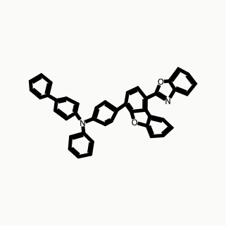 c1ccc(-c2ccc(N(c3ccccc3)c3ccc(-c4ccc(-c5nc6ccccc6o5)c5c4oc4ccccc45)cc3)cc2)cc1